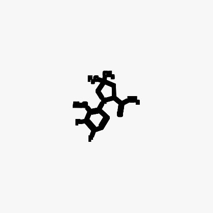 COc1c(N2CC(C)(C(F)(F)F)CC2C(N)=O)ccc(F)c1F